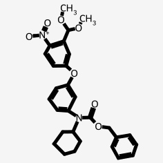 COC(OC)c1cc(Oc2cccc(N(C(=O)OCc3ccccc3)C3CCCCC3)c2)ccc1[N+](=O)[O-]